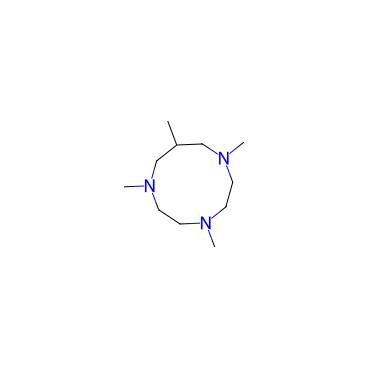 CC1CN(C)CCN(C)CCN(C)C1